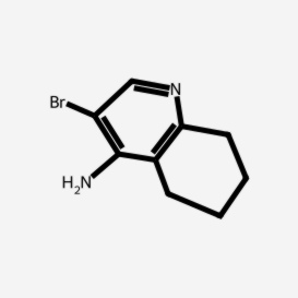 Nc1c(Br)cnc2c1CCCC2